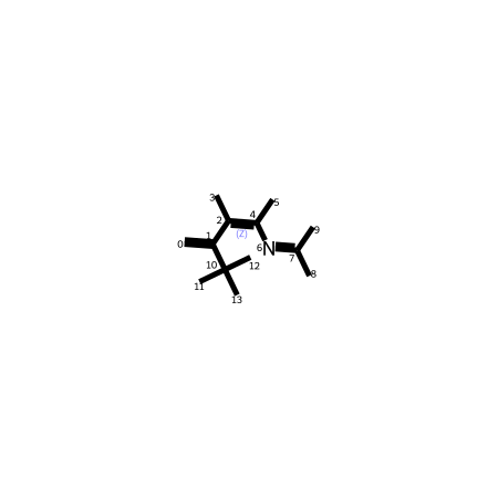 C=C(/C(C)=C(/C)N=C(C)C)C(C)(C)C